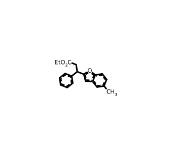 CCOC(=O)CC(c1ccccc1)c1cc2cc(C)ccc2o1